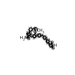 CN1CCN(C2CCCN(c3nnc(C(N)=O)c(Nc4ccc(N5CCN(CC6CCN(c7ccc(N8CCC(=O)NC8=O)cn7)CC6)CC5)c(F)c4)n3)C2)C1=O